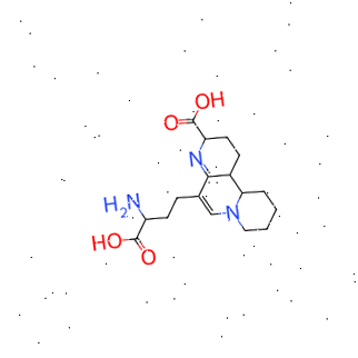 NC(CCC1=CN2CCCCC2C2CCC(C(=O)O)N=C12)C(=O)O